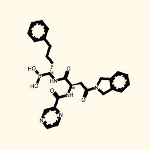 O=C(N[C@H](CC(=O)N1Cc2ccccc2C1)C(=O)N[C@@H](CCCc1ccccc1)B(O)O)c1cnccn1